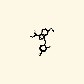 COC(=O)c1nn(Cc2ccc(Cl)cc2F)c2cc(OC)ccc12